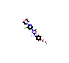 COc1ccc(NC2=NN(c3cnc(N4CCOCC4)c(Cl)c3)CO2)cc1